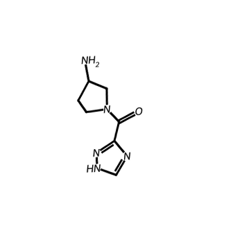 NC1CCN(C(=O)c2nc[nH]n2)C1